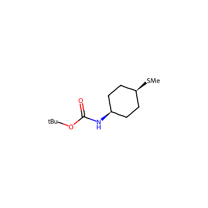 CS[C@H]1CC[C@@H](NC(=O)OC(C)(C)C)CC1